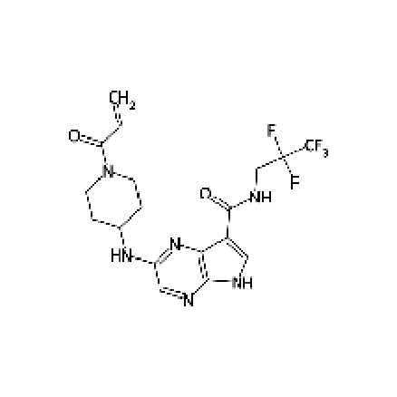 C=CC(=O)N1CCC(Nc2cnc3[nH]cc(C(=O)NCC(F)(F)C(F)(F)F)c3n2)CC1